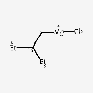 CCC(CC)[CH2][Mg][Cl]